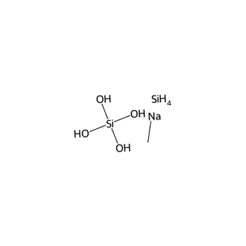 O[Si](O)(O)O.[CH3][Na].[SiH4]